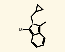 CCc1c2ccccc2c(C)n1CC1CC1